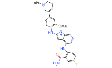 CCCN1CCC=C(c2ccc(Nc3cc4c(Nc5ccc(F)cc5C(N)=O)cncc4[nH]3)c(OC)c2)C1